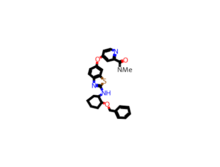 CNC(=O)c1cc(Oc2ccc3nc(NC4CCCCC4OCc4ccccc4)sc3c2)ccn1